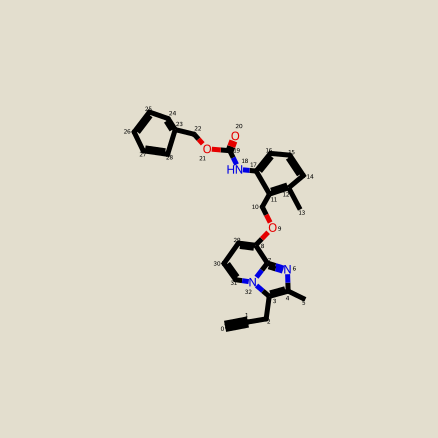 C#CCc1c(C)nc2c(OCc3c(C)cccc3NC(=O)OCc3ccccc3)cccn12